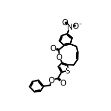 O=C(OCc1ccccc1)c1cc2c(s1)CC=CCc1cc([N+](=O)[O-])ccc1C(=O)O2